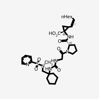 CCCCCC/C=C\C1C[C@]1(NC(=O)[C@@H]1CCCN1C(=O)CNC(=O)NC1(CN(C)S(=O)(=O)c2ccccn2)CCCCC1)C(=O)O